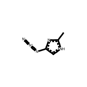 Cc1nc(N=[N+]=[N-])c[nH]1